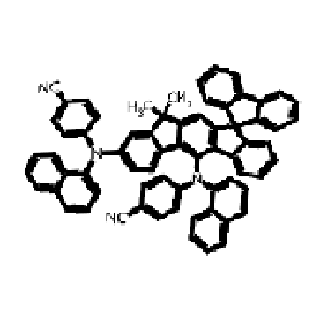 CC1(C)c2cc(N(c3ccc(C#N)cc3)c3cccc4ccccc34)ccc2-c2c1cc1c(c2N(c2ccc(C#N)cc2)c2cccc3ccccc23)-c2ccccc2C12c1ccccc1-c1ccccc12